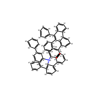 c1ccc(-c2cccc(N(c3ccc(-c4cccc5c4c(-c4ccccc4)c(-c4ccccc4)c4ccccc45)cc3)c3c(-c4ccccc4)cccc3-c3ccccc3)c2)cc1